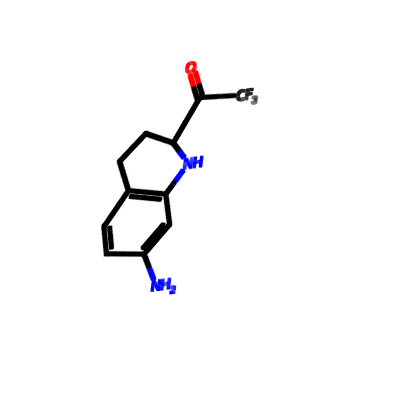 Nc1ccc2c(c1)NC(C(=O)C(F)(F)F)CC2